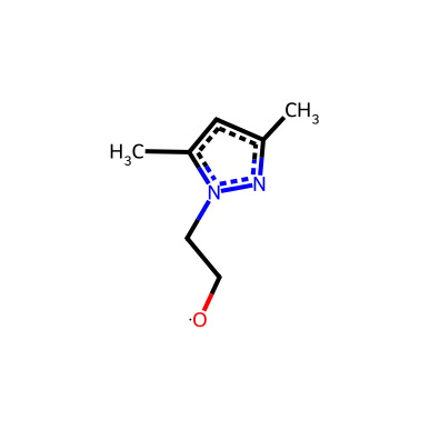 Cc1cc(C)n(CC[O])n1